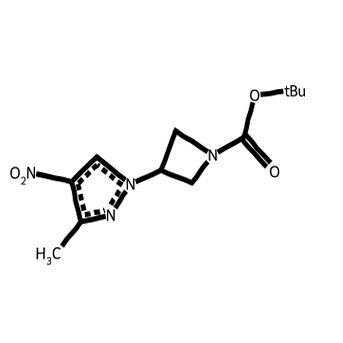 Cc1nn(C2CN(C(=O)OC(C)(C)C)C2)cc1[N+](=O)[O-]